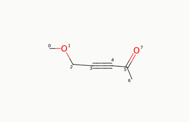 COCC#CC(C)=O